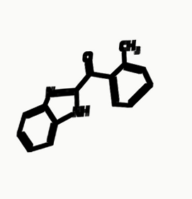 Cc1ccccc1C(=O)c1nc2ccccc2[nH]1